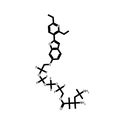 CCc1ccc(-c2cc3ccc(SCC(F)(F)OC(F)(F)OC(F)(F)OC(F)(F)COC(=O)C(C)(C)C(C)(N)CC(C)(C)N)cc3o2)c(CC)n1